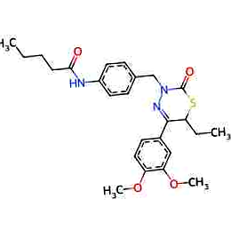 CCCCC(=O)Nc1ccc(CN2N=C(c3ccc(OC)c(OC)c3)C(CC)SC2=O)cc1